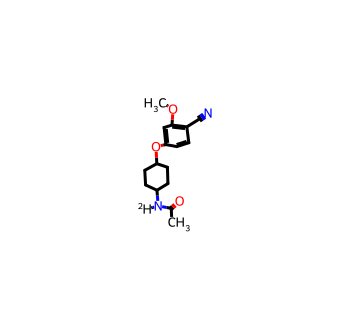 [2H]N(C(C)=O)C1CCC(Oc2ccc(C#N)c(OC)c2)CC1